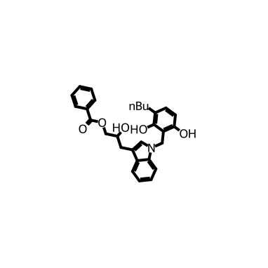 CCCCc1ccc(O)c(Cn2cc(CC(O)COC(=O)c3ccccc3)c3ccccc32)c1O